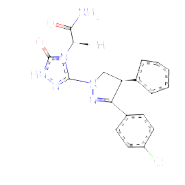 C[C@H](C(N)=O)n1c(N2C[C@@H](c3ccccc3)C(c3ccc(Cl)cc3)=N2)n[nH]c1=O